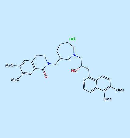 COc1cc2c(cc1OC)C(=O)N(CC1CCCCN(CC(O)Cc3cccc4c(OC)c(OC)ccc34)C1)CC2.Cl